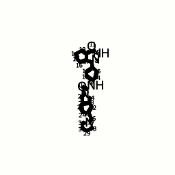 O=C(Nc1ccc(-c2n[nH]c(=O)c3ccccc23)cc1)N1Cc2ccc(CN3CCCC3)cc2C1